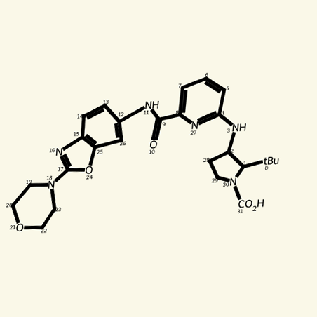 CC(C)(C)C1C(Nc2cccc(C(=O)Nc3ccc4nc(N5CCOCC5)oc4c3)n2)CCN1C(=O)O